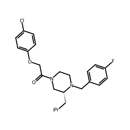 CC(C)C[C@@H]1CN(C(=O)COc2ccc(Cl)cc2)CCN1Cc1ccc(F)cc1